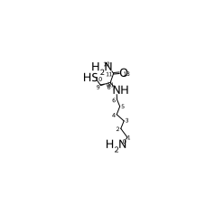 NCCCCCCN[C@@H](CS)C(N)=O